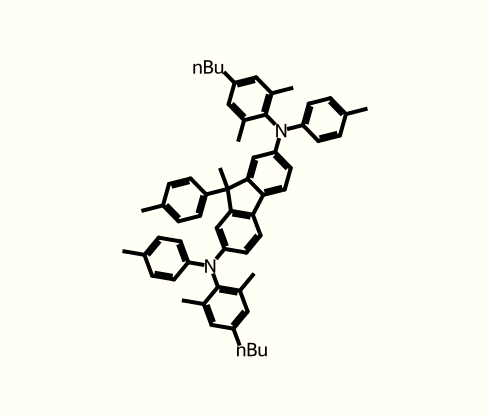 CCCCc1cc(C)c(N(c2ccc(C)cc2)c2ccc3c(c2)C(C)(c2ccc(C)cc2)c2cc(N(c4ccc(C)cc4)c4c(C)cc(CCCC)cc4C)ccc2-3)c(C)c1